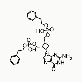 Nc1nc2c(ncn2[C@@H]2C[C@H](COP(=O)(O)OCCc3ccccc3)[C@H]2COP(=O)(O)OCCc2ccccc2)c(=O)[nH]1